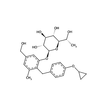 Cc1cc(CO)cc(O[C@@H]2O[C@H]([C@@H](C)O)[C@@H](O)[C@H](O)[C@H]2O)c1Cc1ccc(OC2CC2)cc1